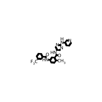 Cc1ccc(NC(=O)c2cccc(C(F)(F)F)c2)cc1C(=O)Nc1cnc(Nc2cccnc2)nc1